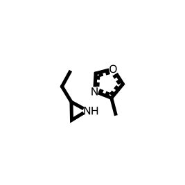 CCC1CN1.Cc1cocn1